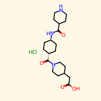 Cl.O=C(O)CC1CCN(C(=O)[C@H]2CC[C@H](NC(=O)C3CCNCC3)CC2)CC1